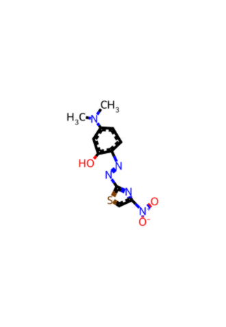 CN(C)c1ccc(N=Nc2nc([N+](=O)[O-])cs2)c(O)c1